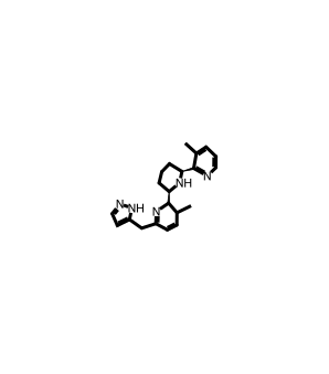 Cc1cccnc1[C@@H]1CCC[C@H](C2N=C(Cc3ccn[nH]3)C=CC2C)N1